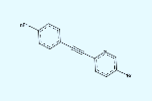 CCCc1ccc(C#Cc2ccc(Br)cn2)cc1